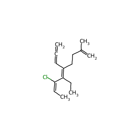 C=C=C/C(CCC(=C)C)=C(CC)\C(Cl)=C/C